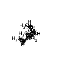 COc1nc2c(C(=O)Nc3ccc(C(=O)N(C)c4ccc(C)cc4OCCCCC(=C=O)N4CCN(C)CC4)cc3OC)cccc2[nH]1